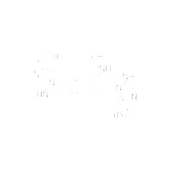 Cc1cc2c(-c3ccc(-c4c[nH]c([C@@H]5CCCN5C(=O)OC(C)(C)C)n4)cc3)ccc(-c3c[nH]c([C@@H]4CCCN4C(=O)OC(C)(C)C)n3)c2[nH]1